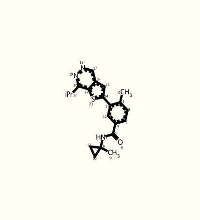 Cc1ccc(C(=O)NC2(C)CC2)cc1-c1cc2cnnc(C(C)C)c2s1